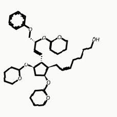 OCCCC/C=C\C[C@@H]1[C@@H](/C=C/[C@H](COc2ccccc2)OC2CCCCO2)[C@H](OC2CCCCO2)C[C@@H]1OC1CCCCO1